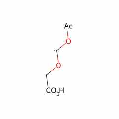 CC(=O)O[CH]OCC(=O)O